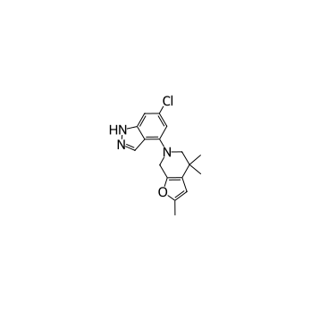 Cc1cc2c(o1)CN(c1cc(Cl)cc3[nH]ncc13)CC2(C)C